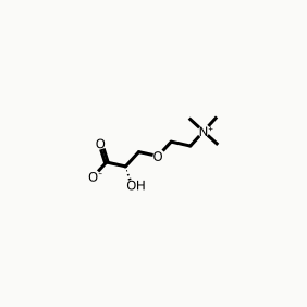 C[N+](C)(C)CCOC[C@H](O)C(=O)[O-]